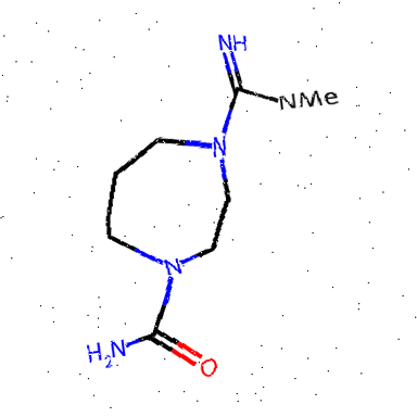 CNC(=N)N1CCCN(C(N)=O)CC1